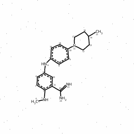 CNc1ccc(Nc2ccc(N3CCC(C)CC3)cc2)cc1C(=N)N